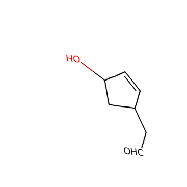 O=CCC1C=CC(O)C1